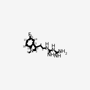 Cn1cc(CCNC(=N)NC(=N)N)c2cc(F)ccc21